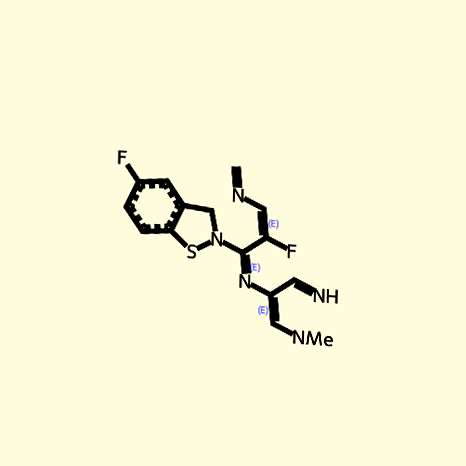 C=N\C=C(F)/C(=N\C(C=N)=C\NC)N1Cc2cc(F)ccc2S1